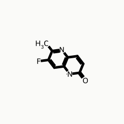 Cc1nc2c(cc1F)[N]C(=O)C=C2